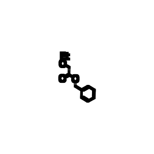 CCOCC(=O)OCc1ccccc1